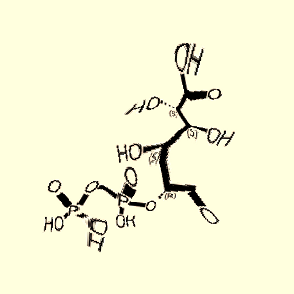 O=C[C@H](OP(=O)(O)OP(=O)(O)O)[C@@H](O)[C@H](O)[C@H](O)C(=O)O